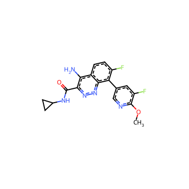 COc1ncc(-c2c(F)ccc3c(N)c(C(=O)NC4CC4)nnc23)cc1F